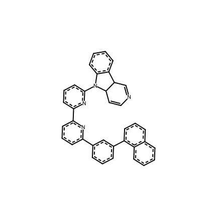 C1=CC2C(C=N1)c1ccccc1N2c1cccc(-c2cccc(-c3cccc(-c4cccc5ccccc45)c3)n2)n1